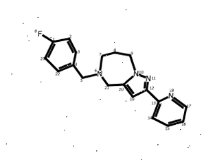 Fc1ccc(CN2CCCn3nc(-c4ccccn4)cc3C2)cc1